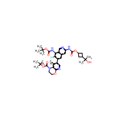 Cc1c(-c2cc3cc(NC(=O)OC4CC(C(C)(C)O)C4)ncc3c(NC(=O)OC(C)(C)C)c2F)cnc2c1N(C(=O)OC(C)(C)C)CCO2